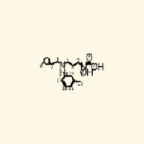 COCCNCCCN(O)C(=O)O.Cc1ccccc1